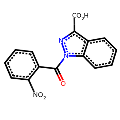 O=C(O)c1nn(C(=O)c2ccccc2[N+](=O)[O-])c2ccccc12